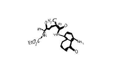 CCOC(=O)N[C@H](C(=O)C[C@@H](C)C(=O)Nc1ccc(N)c2c1CCCC2=O)C(C)C